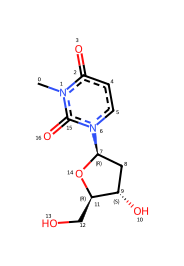 Cn1c(=O)ccn([C@H]2C[C@H](O)[C@@H](CO)O2)c1=O